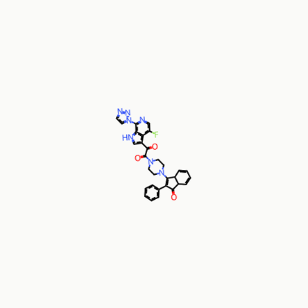 O=C(C(=O)N1CCN(C2=C(c3ccccc3)C(=O)C3C=CC=CC23)CC1)c1c[nH]c2c(-n3ccnn3)ncc(F)c12